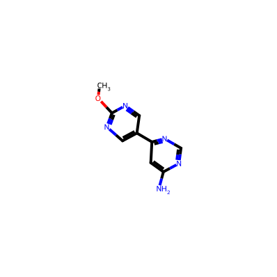 COc1ncc(-c2cc(N)ncn2)cn1